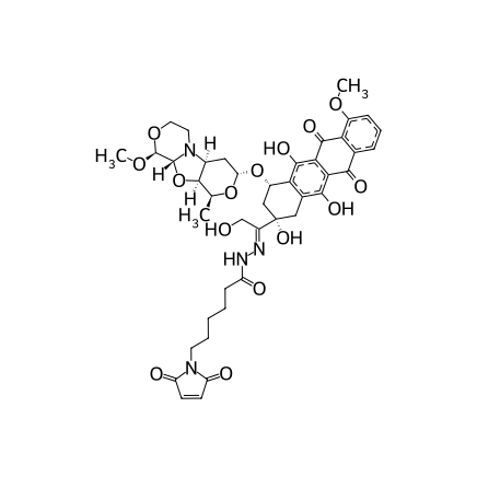 COc1cccc2c1C(=O)c1c(O)c3c(c(O)c1C2=O)C[C@@](O)(/C(CO)=N/NC(=O)CCCCCN1C(=O)C=CC1=O)C[C@@H]3O[C@H]1C[C@H]2[C@H](O[C@@H]3[C@@H](OC)OCCN32)[C@H](C)O1